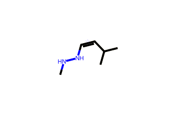 CNN/C=C\C(C)C